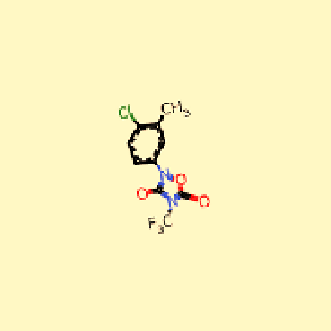 Cc1cc(-n2oc(=O)n(C(F)(F)F)c2=O)ccc1Cl